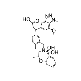 COc1cc(C(CC(=O)O)c2ccc(C)c(CN3CC(C)Oc4ccccc4S3(O)O)c2)cc2nnn(C)c12